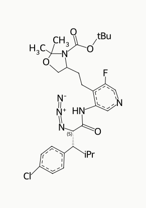 CC(C)C(c1ccc(Cl)cc1)[C@H](N=[N+]=[N-])C(=O)Nc1cncc(F)c1CCC1COC(C)(C)N1C(=O)OC(C)(C)C